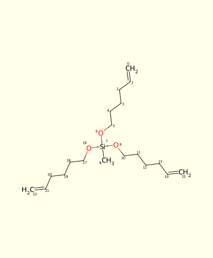 C=CCCCCO[Si](C)(OCCCCC=C)OCCCCC=C